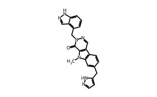 Cn1c2cc(Cc3ccn[nH]3)ccc2c2cnn(Cc3cccc4[nH]ncc34)c(=O)c21